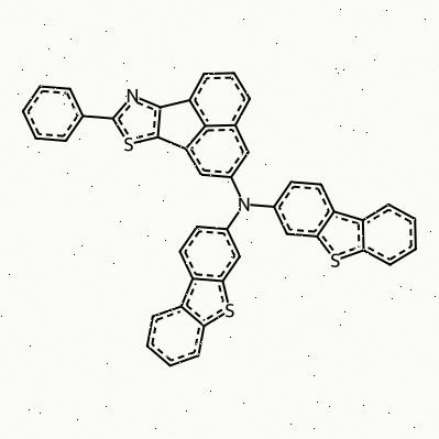 c1ccc(-c2nc3c(s2)-c2cc(N(c4ccc5c(c4)sc4ccccc45)c4ccc5c(c4)sc4ccccc45)cc4cccc-3c24)cc1